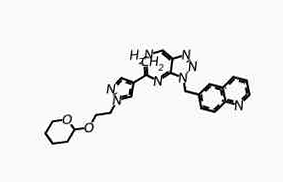 C=C(/N=C1\C(=C/N)N=NN1Cc1ccc2ncccc2c1)c1cnn(CCOC2CCCCO2)c1